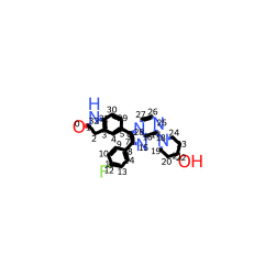 O=C1Cc2cc(-c3c(-c4ccc(F)cc4)nc4c(N5CCC(O)CC5)nccn34)ccc2N1